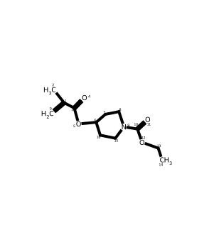 C=C(C)C(=O)OC1CCN(C(=O)OCC)CC1